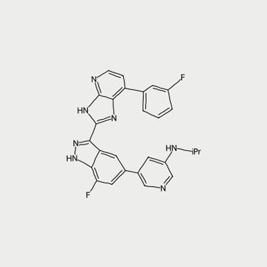 CC(C)Nc1cncc(-c2cc(F)c3[nH]nc(-c4nc5c(-c6cccc(F)c6)ccnc5[nH]4)c3c2)c1